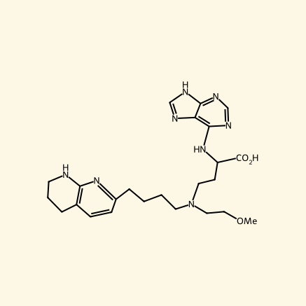 COCCN(CCCCc1ccc2c(n1)NCCC2)CCC(Nc1ncnc2[nH]cnc12)C(=O)O